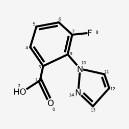 O=C(O)c1cccc(F)c1-n1cccn1